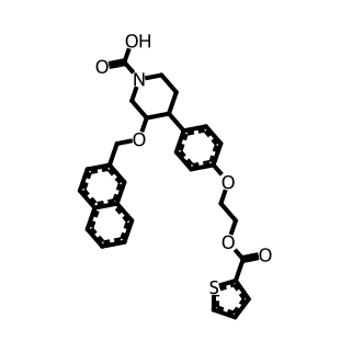 O=C(OCCOc1ccc(C2CCN(C(=O)O)CC2OCc2ccc3ccccc3c2)cc1)c1cccs1